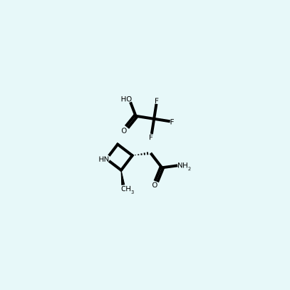 C[C@H]1NC[C@@H]1CC(N)=O.O=C(O)C(F)(F)F